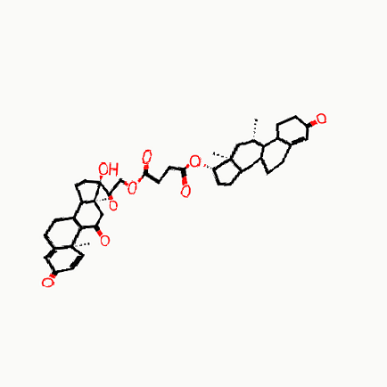 C[C@H]1C[C@@]2(C)C(CC[C@@H]2OC(=O)CCC(=O)OCC(=O)[C@@]2(O)CCC3C4CCC5=CC(=O)C=C[C@]5(C)C4C(=O)C[C@@]32C)C2CCC3=CC(=O)CCC3C21